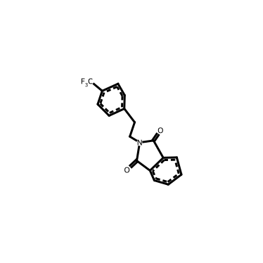 O=C1c2ccccc2C(=O)N1CCc1ccc(C(F)(F)F)cc1